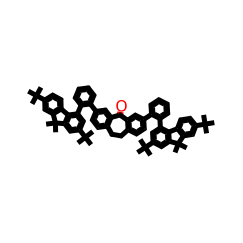 CC(C)(C)c1ccc2c(c1)C(C)(C)c1cc(C(C)(C)C)cc(-c3ccccc3-c3ccc4c(c3)C(=O)c3cc(-c5ccccc5-c5cc(C(C)(C)C)cc6c5-c5ccc(C(C)(C)C)cc5C6(C)C)ccc3CC4)c1-2